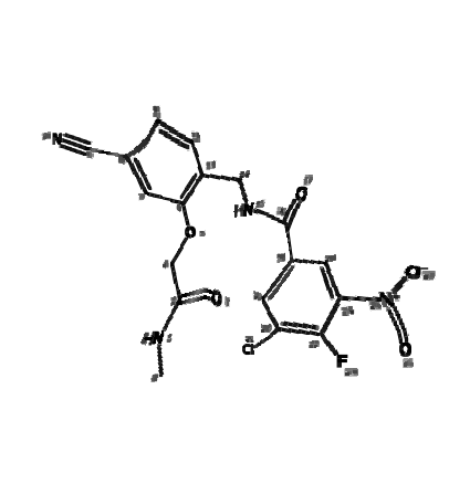 CNC(=O)COc1cc(C#N)ccc1CNC(=O)c1cc(Cl)c(F)c([N+](=O)[O-])c1